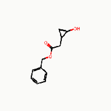 O=C(CC1CC1O)OCc1ccccc1